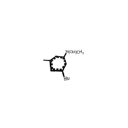 Cc1cc(N(C)O)cc(C(C)(C)C)c1